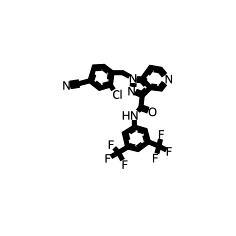 N#Cc1ccc(Cn2nc(C(=O)Nc3cc(C(F)(F)F)cc(C(F)(F)F)c3)c3cnccc32)c(Cl)c1